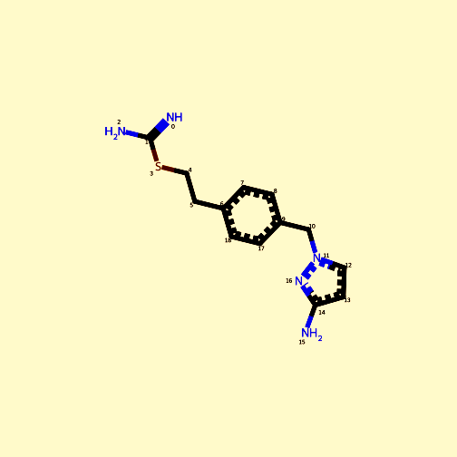 N=C(N)SCCc1ccc(Cn2ccc(N)n2)cc1